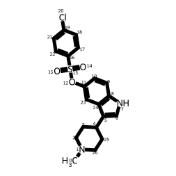 CN1CCC(c2c[nH]c3ccc(OS(=O)(=O)c4ccc(Cl)cc4)cc23)CC1